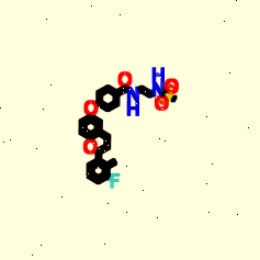 Cc1c(F)cccc1C1CCc2cc(OC3CCC(C(=O)NCCNS(C)(=O)=O)CC3)ccc2O1